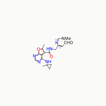 CN/C=N\C(=C/C=O)CNC(=O)c1c(C)oc2ncnc(NC3(C)CC3)c12